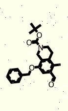 Cc1c(C=O)cc(OCc2ccccc2)c2c1CCN(C(=O)OC(C)(C)C)C2